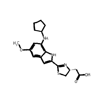 COc1cc(NC2CCCC2)c2[nH]c(C3=N[C@H](CC(=O)O)CS3)cc2c1